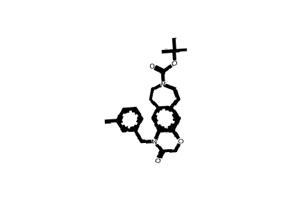 Cc1cccc(CN2C(=O)COc3cc4c(cc32)CCN(C(=O)OC(C)(C)C)CC4)c1